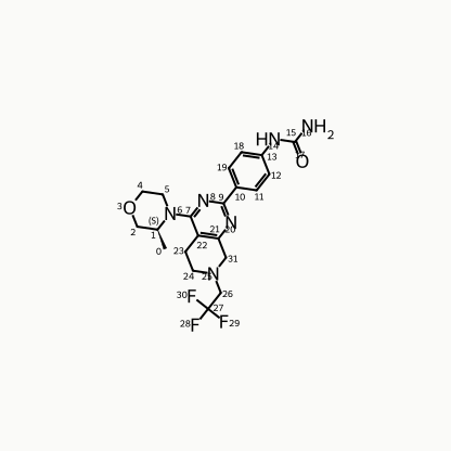 C[C@H]1COCCN1c1nc(-c2ccc(NC(N)=O)cc2)nc2c1CCN(CC(F)(F)F)C2